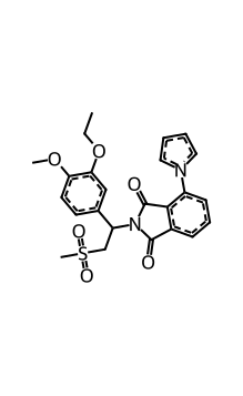 CCOc1cc(C(CS(C)(=O)=O)N2C(=O)c3cccc(-n4cccc4)c3C2=O)ccc1OC